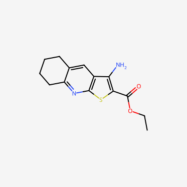 CCOC(=O)c1sc2nc3c(cc2c1N)CCCC3